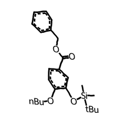 CCCCOc1ccc(C(=O)OCc2ccccc2)cc1O[Si](C)(C)C(C)(C)C